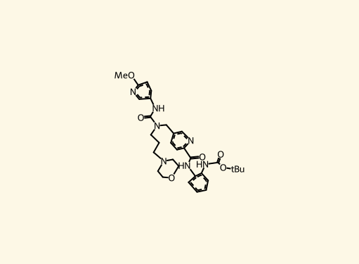 COc1ccc(NC(=O)N(CCCN2CCOCC2)Cc2ccc(C(=O)Nc3ccccc3NC(=O)OC(C)(C)C)nc2)cn1